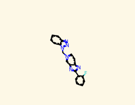 Fc1ccccc1-c1nc2ccn(Cn3nnc4ccccc43)cc-2n1